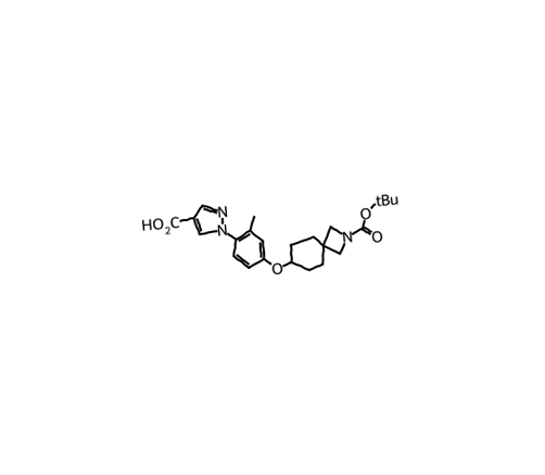 Cc1cc(OC2CCC3(CC2)CN(C(=O)OC(C)(C)C)C3)ccc1-n1cc(C(=O)O)cn1